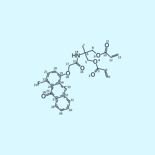 C=CC(=O)OCC(C)(COC(=O)C=C)NC(=O)COc1ccc(F)c2c(=O)c3ccccc3sc12